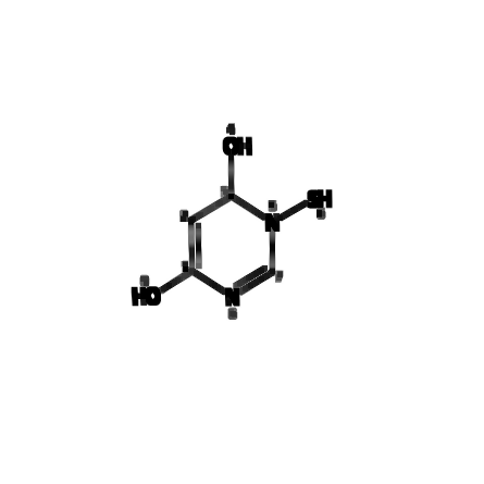 OC1=CC(O)N(S)C=N1